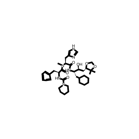 CN(C(=O)[C@H](Cc1ccccc1)NC(=O)N1CCCCC1)[C@@H](Cc1c[nH]cn1)C(=O)N[C@@H](CC1CCCCC1)[C@@H](O)C[C@@H]1OCOC1(C)C